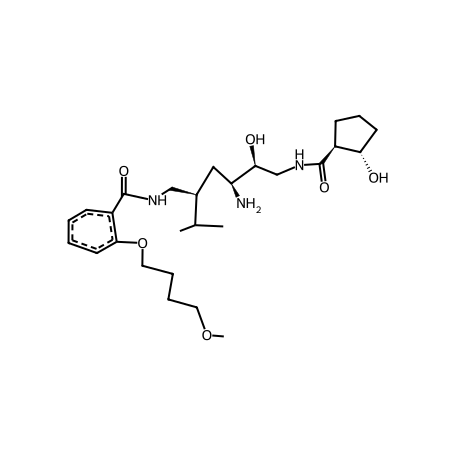 COCCCCOc1ccccc1C(=O)NC[C@@H](C[C@H](N)[C@@H](O)CNC(=O)[C@H]1CCC[C@@H]1O)C(C)C